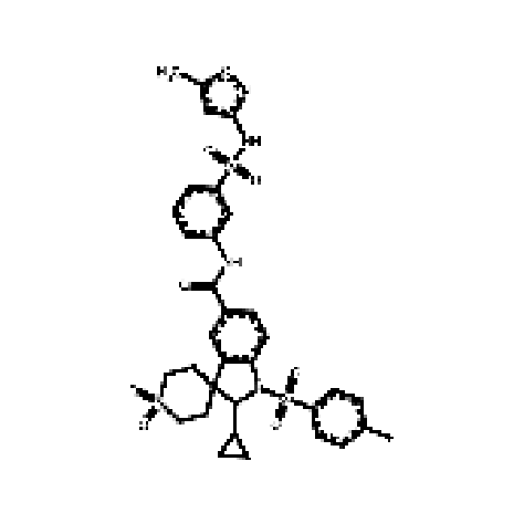 Cc1cc(NS(=O)(=O)c2cccc(NC(=O)c3ccc4c(c3)C3(CCS(=O)(=O)CC3)C(C3CC3)N4S(=O)(=O)c3ccc(F)cc3)c2)no1